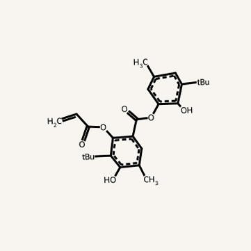 C=CC(=O)Oc1c(C(=O)Oc2cc(C)cc(C(C)(C)C)c2O)cc(C)c(O)c1C(C)(C)C